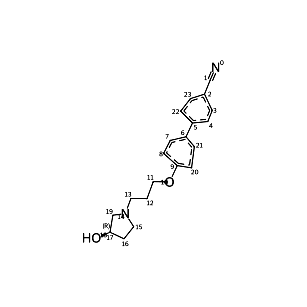 N#Cc1ccc(-c2ccc(OCCCN3CC[C@@H](O)C3)cc2)cc1